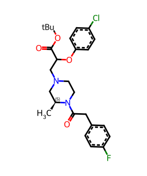 C[C@H]1CN(CC(Oc2ccc(Cl)cc2)C(=O)OC(C)(C)C)CCN1C(=O)Cc1ccc(F)cc1